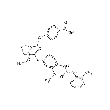 COc1cc(CC(=O)[C@@]2(OC)CCCN2COc2ccc(C(=O)O)cc2)ccc1NC(=O)Nc1ccccc1C